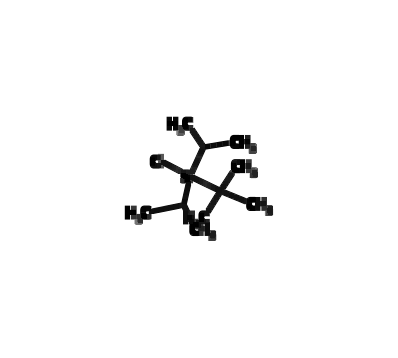 CC(C)[Si](Cl)(C(C)C)C(C)(C)C